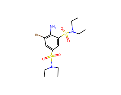 CCN(CC)S(=O)(=O)c1cc(Br)c(N)c(S(=O)(=O)N(CC)CC)c1